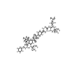 CN(C)CCC(CSc1ccccc1)Nc1ccc(S(=O)(=O)NC(=O)c2ccc(N3CCN(CC4=C(C56CC(C(F)F)(C5)C6)CC(C)(C)CC4)CC3)cc2)cc1S(=O)(=O)C(F)(F)F